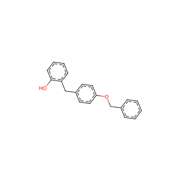 Oc1ccccc1Cc1ccc(OCc2ccccc2)cc1